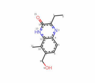 CCc1nc2ccc(CO)c(C)c2[nH]c1=O